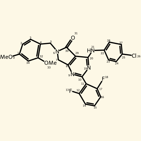 COc1ccc(CN2Cc3nc(-c4c(F)cccc4F)nc(Nc4ccc(Cl)cc4)c3C2=O)c(OC)c1